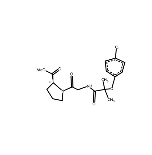 COC(=O)[C@@H]1CCCN1C(=O)CNC(=O)C(C)(C)Oc1ccc(Cl)cc1